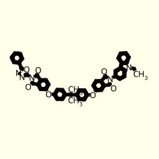 CCn1c2ccccc2c2cc(N3C(=O)c4ccc(Oc5ccc(C(C)(C)c6ccc(Oc7ccc8c(c7)C(=O)N(c7nnc(-c9ccccc9)o7)C8=O)cc6)cc5)cc4C3=O)ccc21